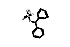 CS(=O)(=O)OC(c1ccccc1)c1ccccc1